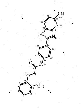 Cc1ccccc1OCC(=O)Nc1ccc(-c2nc3nc(C#N)ccc3o2)cc1